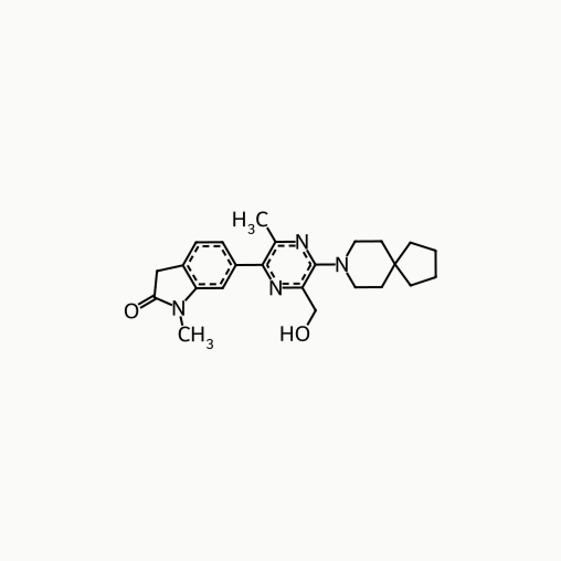 Cc1nc(N2CCC3(CCCC3)CC2)c(CO)nc1-c1ccc2c(c1)N(C)C(=O)C2